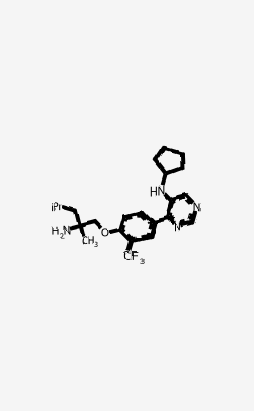 CC(C)CC(C)(N)COc1ccc(-c2ncncc2NC2CCCC2)cc1C(F)(F)F